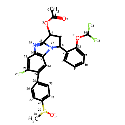 CC(=O)OC1CC(c2ccccc2OC(F)F)n2c1nc1cc(F)c(-c3ccc([S+](C)[O-])cc3)cc12